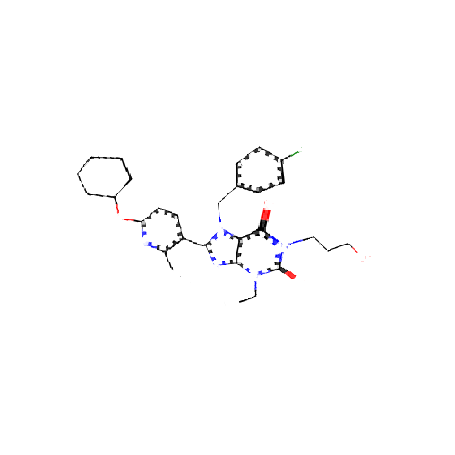 CCn1c(=O)n(CCCO)c(=O)c2c1nc(-c1ccc(OC3CCCCC3)nc1C)n2Cc1ccc(F)cc1